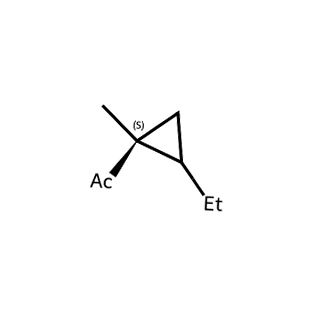 CCC1C[C@]1(C)C(C)=O